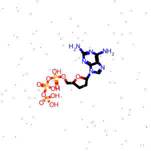 Nc1nc(N)c2ncn(C3CCC(COP(=O)(O)OP(=O)(O)OP(=O)(O)O)O3)c2n1